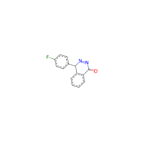 O=C1N=NC(c2ccc(F)cc2)c2ccccc21